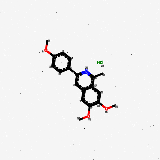 COc1ccc(-c2cc3cc(OC)c(OC)cc3c(C)n2)cc1.Cl